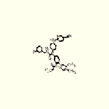 C=CC(=O)Nc1cc(N(C(=O)NCc2cccc(F)c2)C2CCC(Nc3ccc(C#N)cn3)CC2)ccc1N1CCN(C)[C@@H](C)C1